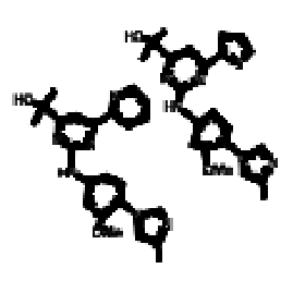 COc1cc(Nc2nc(-c3ccccn3)cc(C(C)(C)O)n2)ccc1-n1cnc(C)c1.COc1cc(Nc2nc(-c3cccs3)cc(C(C)(C)O)n2)ccc1-n1cnc(C)c1